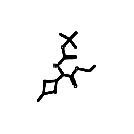 CCOC(=O)C(NC(=O)OC(C)(C)C)C1OC(C)O1